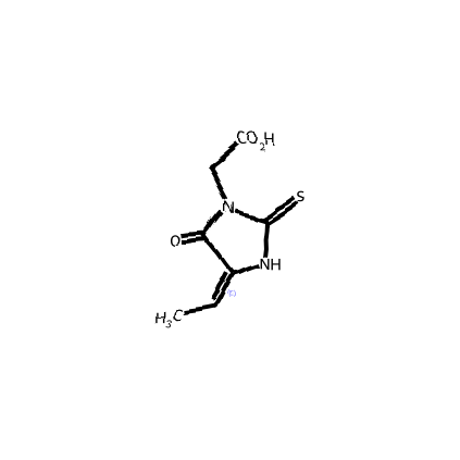 C/C=C1/NC(=S)N(CC(=O)O)C1=O